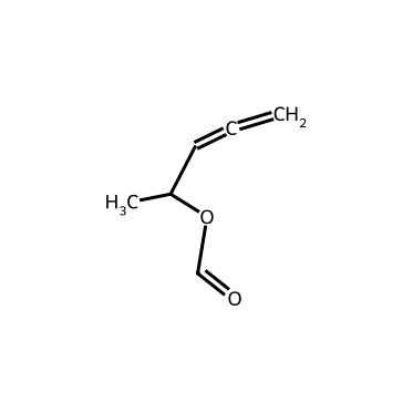 C=C=CC(C)OC=O